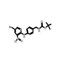 CC(C)(C)OC(=O)NCc1ccc(Nc2ncc(Br)cc2[N+](=O)[O-])cc1